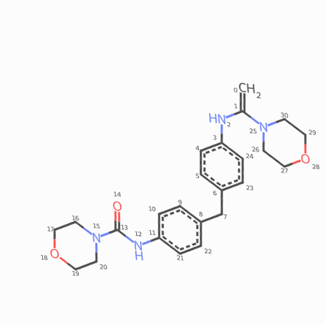 C=C(Nc1ccc(Cc2ccc(NC(=O)N3CCOCC3)cc2)cc1)N1CCOCC1